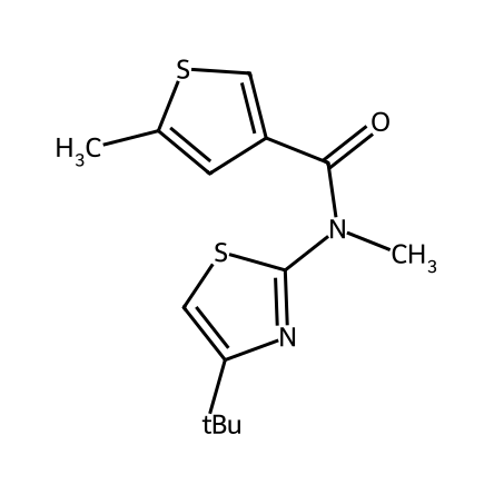 Cc1cc(C(=O)N(C)c2nc(C(C)(C)C)cs2)cs1